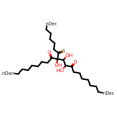 CCCCCCCCCCCCCCCCCC(=O)C(O)C(O)C(O)(C(=O)CCCCCCCCCCCCCCCCC)C(=S)CCCCCCCCCCCCCCC